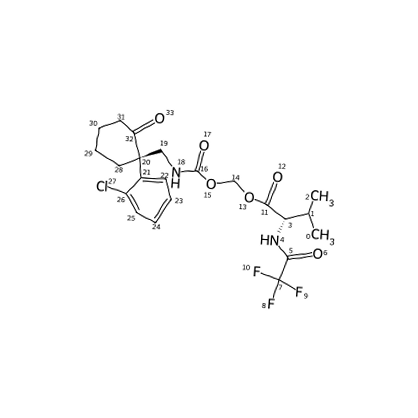 CC(C)[C@H](NC(=O)C(F)(F)F)C(=O)OCOC(=O)NC[C@@]1(c2ccccc2Cl)CCCCC1=O